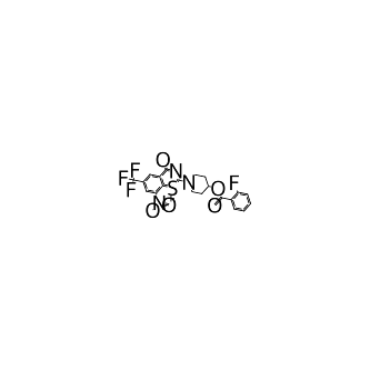 O=C(OC1CCN(c2nc(=O)c3cc(C(F)(F)F)cc([N+](=O)[O-])c3s2)CC1)c1ccccc1F